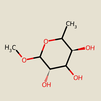 COC1OC(C)[C@@H](O)C(O)[C@@H]1O